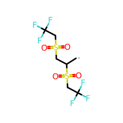 [CH2]C(CS(=O)(=O)CC(F)(F)F)S(=O)(=O)CC(F)(F)F